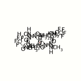 C[C@@H]1CN(CC(=O)N2CC(C)(C)c3[nH]c(=O)c(Cc4cc(F)c(F)c(F)c4F)cc32)[C@@H](CN2CCOC(C(N)=O)C2Cc2ccc(CC3C(C(N)=O)OCCN3C[C@H]3CN[C@H](C)CN3CC(=O)N3CC(C)(C)c4[nH]c(=O)c(Cc5cc(F)c(F)c(F)c5F)cc43)cc2)CN1